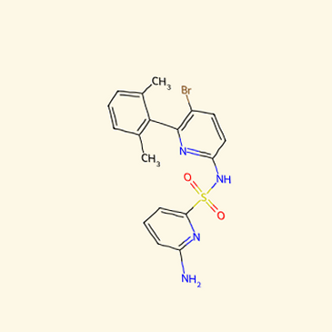 Cc1cccc(C)c1-c1nc(NS(=O)(=O)c2cccc(N)n2)ccc1Br